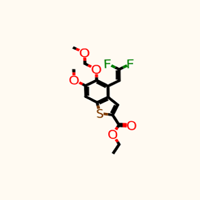 CCOC(=O)c1cc2c(C=C(F)F)c(OCOC)c(OC)cc2s1